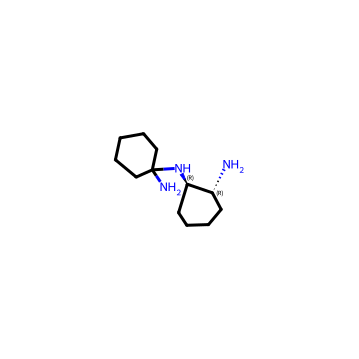 N[C@@H]1CCCC[C@H]1NC1(N)CCCCC1